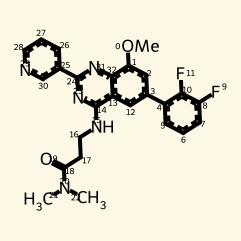 COc1cc(-c2cccc(F)c2F)cc2c(NCCC(=O)N(C)C)nc(-c3cccnc3)nc12